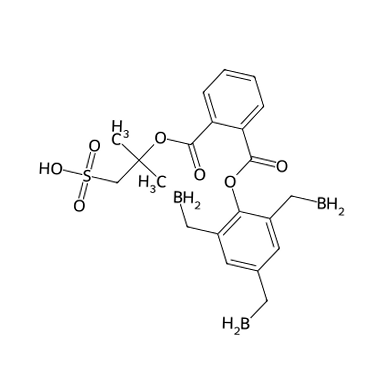 BCc1cc(CB)c(OC(=O)c2ccccc2C(=O)OC(C)(C)CS(=O)(=O)O)c(CB)c1